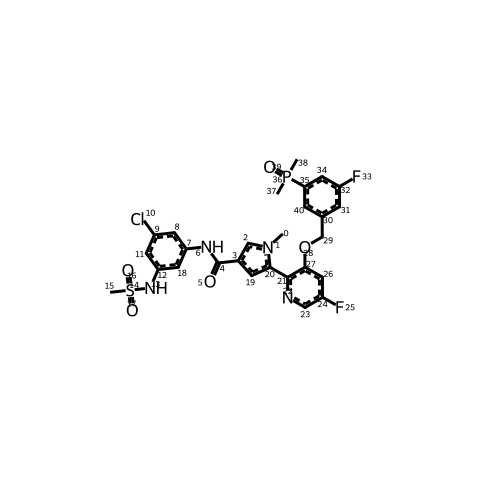 Cn1cc(C(=O)Nc2cc(Cl)cc(NS(C)(=O)=O)c2)cc1-c1ncc(F)cc1OCc1cc(F)cc(P(C)(C)=O)c1